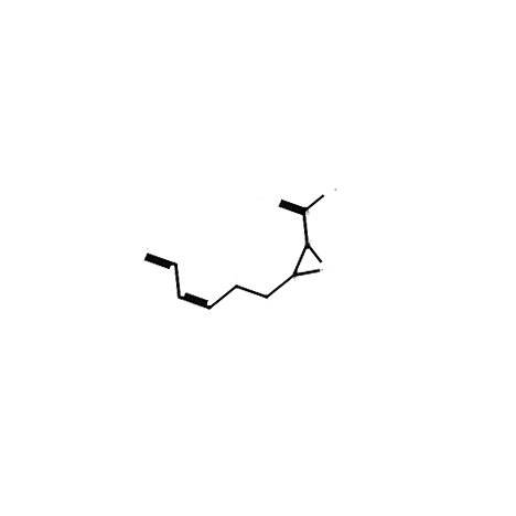 C=C/C=C\CCC1OC1C(=O)O